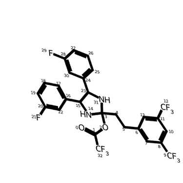 O=C(OC1(CCc2cc(C(F)(F)F)cc(C(F)(F)F)c2)NC(c2cccc(F)c2)C(c2cccc(F)c2)N1)C(F)(F)F